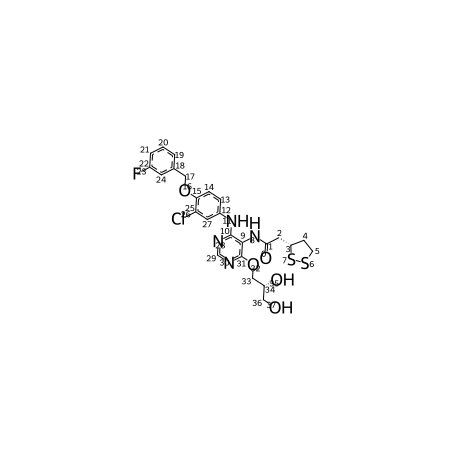 O=C(C[C@@H]1CCSS1)Nc1c(Nc2ccc(OCc3cccc(F)c3)c(Cl)c2)ncnc1OC[C@H](O)CO